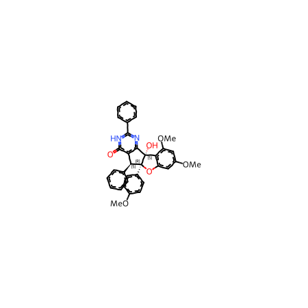 COc1ccc([C@@]23Oc4cc(OC)cc(OC)c4[C@]2(O)c2nc(-c4ccccc4)[nH]c(=O)c2[C@@H]3c2ccccc2)cc1